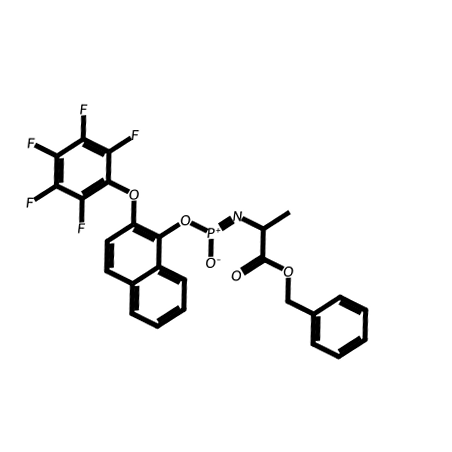 CC(N=[P+]([O-])Oc1c(Oc2c(F)c(F)c(F)c(F)c2F)ccc2ccccc12)C(=O)OCc1ccccc1